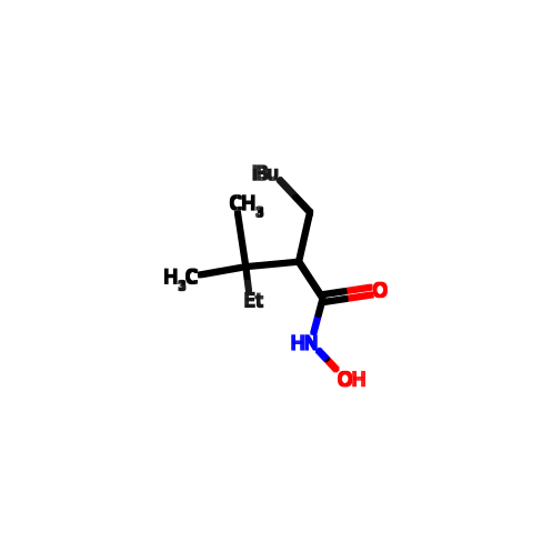 CCC(C)CC(C(=O)NO)C(C)(C)CC